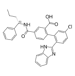 CCC[C@H](NC(=O)c1ccc(-c2cc(Cl)ccc2-c2nc3ccccc3[nH]2)c(C(=O)O)c1)c1ccccc1